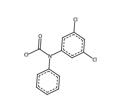 O=C(Cl)N(c1ccccc1)c1cc(Cl)cc(Cl)c1